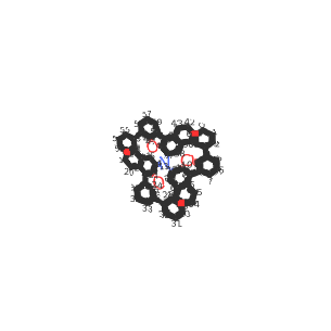 c1ccc(-c2cccc3c2oc2c(N(c4cc5ccccc5c5c4oc4c(-c6ccccc6)cccc45)c4cc5ccccc5c5c4oc4c(-c6ccccc6)cccc45)cc4ccccc4c23)cc1